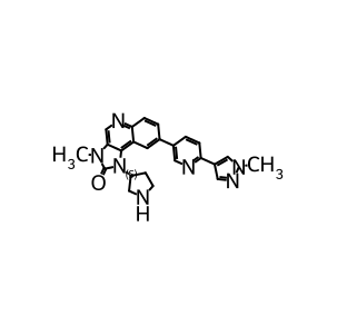 Cn1cc(-c2ccc(-c3ccc4ncc5c(c4c3)n([C@H]3CCNC3)c(=O)n5C)cn2)cn1